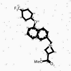 COC(=O)C1CN(Cc2ccc3c(OC4CCC(C(F)(F)F)CC4)cccc3c2)C1